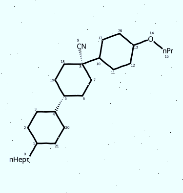 CCCCCCCC1CCC([C@H]2CC[C@](C#N)(C3CCC(OCCC)CC3)CC2)CC1